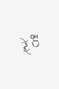 CCC(C)(C)SSC(C)(C)CC.Oc1ccccc1